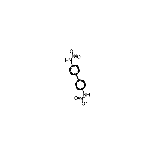 O=[N+]([O-])Nc1ccc(-c2ccc(N[N+](=O)[O-])cc2)cc1